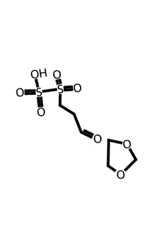 C1COCO1.O=CCCS(=O)(=O)S(=O)(=O)O